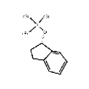 CCCC[Si](CCCC)(CCCC)O[C@H]1CCc2ccccc21